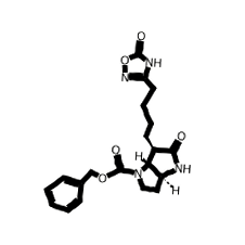 O=C1N[C@H]2CCN(C(=O)OCc3ccccc3)[C@@H]2[C@H]1CCCCc1noc(=O)[nH]1